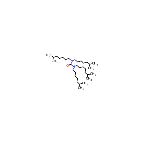 CC(C)CCCCCN(CCCCCC(C)C)C(=O)N(CCCCCC(C)C)CCCCCC(C)C